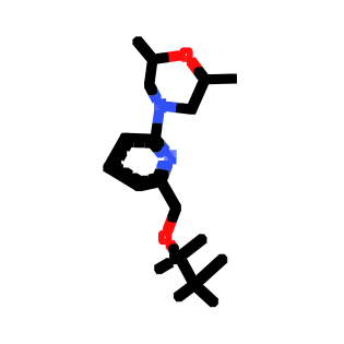 CC1CN(c2cccc(CO[Si](C)(C)C(C)(C)C)n2)CC(C)O1